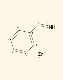 N=Cc1ccccc1.[Zn]